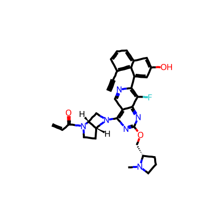 C#Cc1cccc2cc(O)cc(-c3ncc4c(N5C[C@@H]6[C@H]5CCN6C(=O)C=C)nc(OC[C@@H]5CCCN5C)nc4c3F)c12